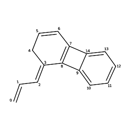 C=CC=C1CC=CC2=C1c1ccccc12